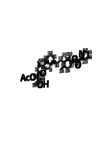 CC(=O)O[C@@H]([C@H]1C[C@@H](C)C2C(CC3[C@H](CCC4C(C)CC[C@H](OC(=O)c5ccccn5)C4(C)C)CCC[C@@]32C)O1)C(C)(C)O